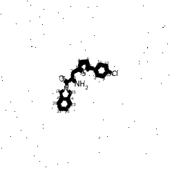 NC(Cc1ccc(-c2ccc(Cl)cc2)s1)C(=O)N1Cc2ccccc2C1